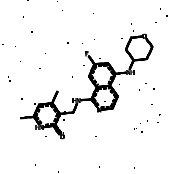 Cc1cc(C)c(CNc2nccc3c(NC4CCOCC4)cc(F)cc23)c(=O)[nH]1